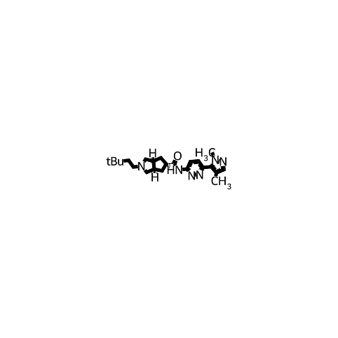 Cc1cnn(C)c1-c1ccc(NC(=O)[C@@H]2C[C@@H]3CN(CCC(C)(C)C)C[C@@H]3C2)nn1